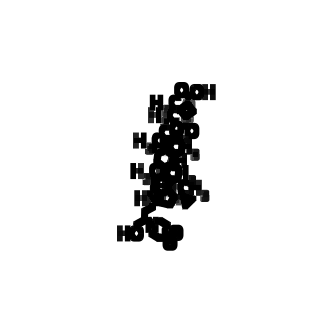 CC1([C@H]2CC[C@]3(NCCC(CO)N4CCS(=O)(=O)CC4)CC[C@]4(C)[C@H](CC[C@@H]5[C@@]6(C)CC[C@H](OC(=O)[C@H]7C[C@@H](C(=O)O)C7(C)C)C(C)(C)[C@@H]6CC[C@]54C)[C@@H]23)CC1